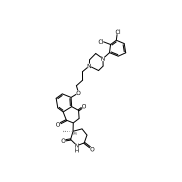 C[C@]1(C2CC(=O)c3c(OCCCN4CCN(c5cccc(Cl)c5Cl)CC4)cccc3C2=O)CCC(=O)NC1=O